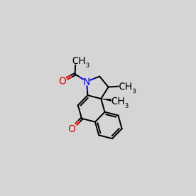 CC(=O)N1CC(C)[C@@]2(C)C1=CC(=O)c1ccccc12